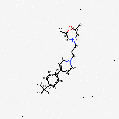 CC1CN(CCCN2CC=C(c3ccc(C(C)(C)C)cc3)CC2)CC(C)O1